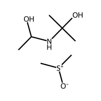 CC(O)NC(C)(C)O.C[S+](C)[O-]